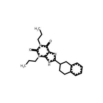 CCCn1c(=O)c2nc(C3CCc4ccccc4C3)[nH]c2n(CCC)c1=O